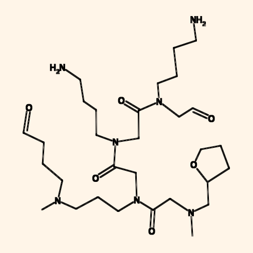 CN(CCCC=O)CCCN(CC(=O)N(CCCCN)CC(=O)N(CC=O)CCCCN)C(=O)CN(C)CC1CCCO1